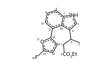 CCOC(=O)CC(C)c1c[nH]c2cccc(-c3ccc(F)o3)c12